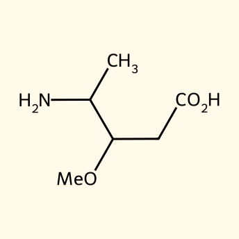 COC(CC(=O)O)C(C)N